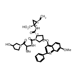 C=C[C@@H]1C[C@]1(NC(=O)[C@@H]1C[C@@H](Oc2cc(-c3ccccc3)nc3cc(OC)ccc23)CN1C(=O)NC(C(=O)N1CCC(O)C1)C(C)(C)C)C(=O)O